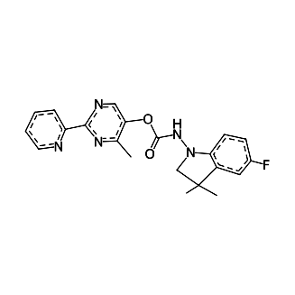 Cc1nc(-c2ccccn2)ncc1OC(=O)NN1CC(C)(C)c2cc(F)ccc21